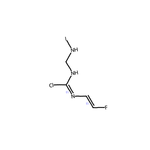 F/C=C/N=C(/Cl)NCNI